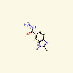 Cc1nc2ccc(C(=O)NN)cc2n1C